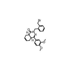 COc1ccc(C2=NN(Cc3ccccc3CBr)C(=O)[C@H]3CC=CC[C@@H]23)cc1OC